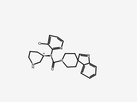 O=C(N1CCC2(C=Nc3ccccc32)CC1)N(c1ncccc1Cl)[C@@H]1CCCNC1